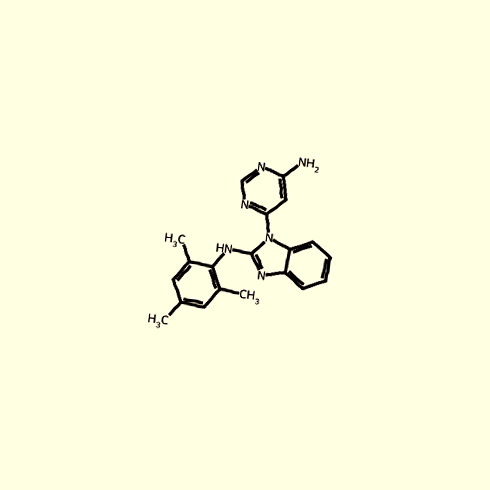 Cc1cc(C)c(Nc2nc3ccccc3n2-c2cc(N)ncn2)c(C)c1